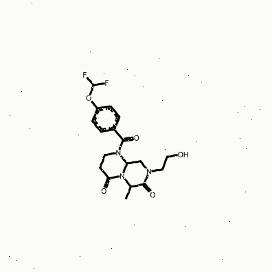 CC1C(=O)N(CCO)CC2N(C(=O)c3ccc(OC(F)F)cc3)CCC(=O)N12